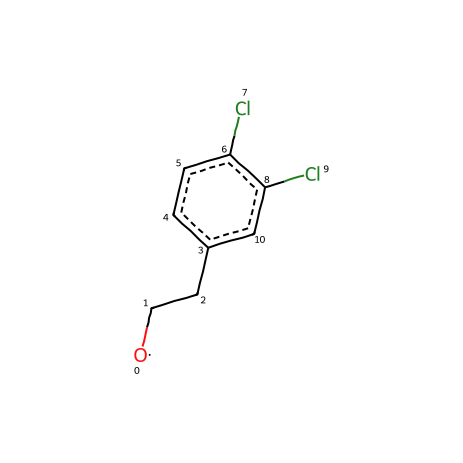 [O]CCc1ccc(Cl)c(Cl)c1